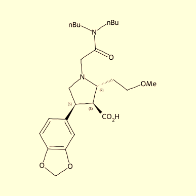 CCCCN(CCCC)C(=O)CN1C[C@H](c2ccc3c(c2)OCO3)[C@H](C(=O)O)[C@H]1CCOC